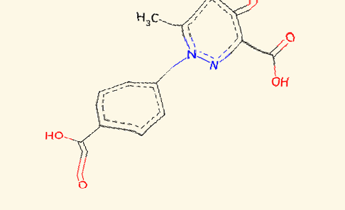 Cc1cc(=O)c(C(=O)O)nn1-c1ccc(C(=O)O)cc1